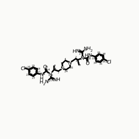 CC(CN1CCN(CC(C)N(C(=N)N)C(=O)Nc2ccc(Cl)cc2)CC1)N(C(=N)N)C(=O)Nc1ccc(Cl)cc1